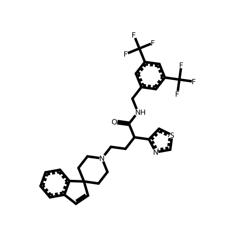 O=C(NCc1cc(C(F)(F)F)cc(C(F)(F)F)c1)C(CCN1CCC2(C=Cc3ccccc32)CC1)c1cscn1